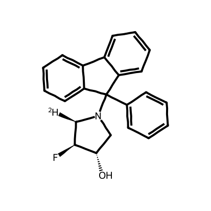 [2H][C@@H]1[C@H](F)[C@@H](O)CN1C1(c2ccccc2)c2ccccc2-c2ccccc21